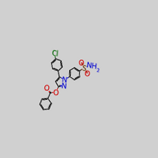 NS(=O)(=O)c1ccc(-n2nc(OC(=O)c3ccccc3)cc2-c2ccc(Cl)cc2)cc1